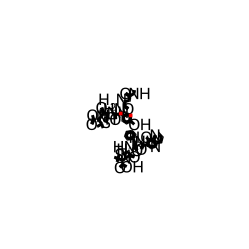 CC1(C)S[C@@H]2[C@H](NC(=O)[C@H](NC(=O)c3cnc4cccnc4c3O)c3ccccc3)C(=O)N2[C@H]1C(=O)O.CNC(=O)C[C@@H](N)C(=O)N[C@@H](C(=O)N[C@@H]1C(=O)N2[C@@H]1SC(C)(C)[C@@H]2C(=O)O)c1ccc(O)cc1